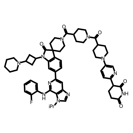 CC(C)n1cnc2cc(-c3ccc4c(c3)N(C3CC(N5CCCCC5)C3)C(=O)C43CCN(C(=O)C4CCN(C(=O)C5CCN(c6ccc(C7CCC(=O)NC7=O)nc6)CC5)CC4)CC3)nc(Nc3ccccc3F)c21